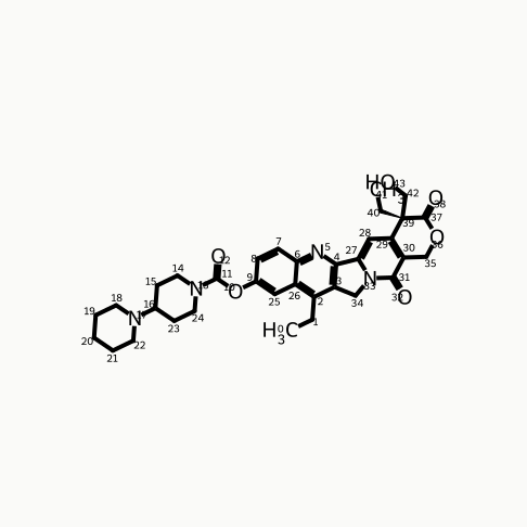 CCc1c2c(nc3ccc(OC(=O)N4CCC(N5CCCCC5)CC4)cc13)-c1cc3c(c(=O)n1C2)COC(=O)[C@@]3(CC)CO